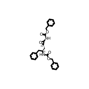 O=C(NC1O[C@H]1C[C@H](Cc1ccccc1)NC(=O)OCc1ccccc1)OCc1ccccc1